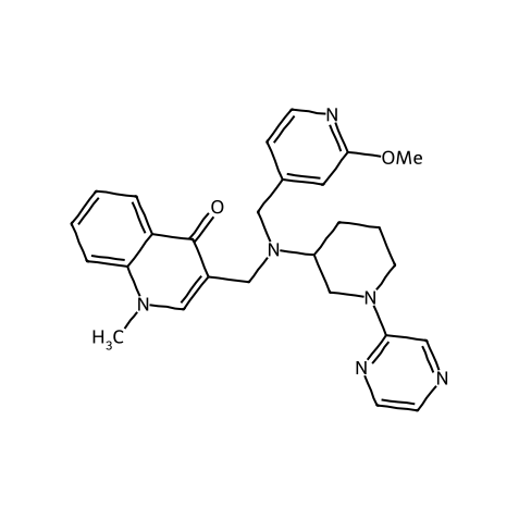 COc1cc(CN(Cc2cn(C)c3ccccc3c2=O)C2CCCN(c3cnccn3)C2)ccn1